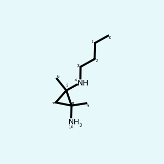 CCCCNC1(C)CC1(C)N